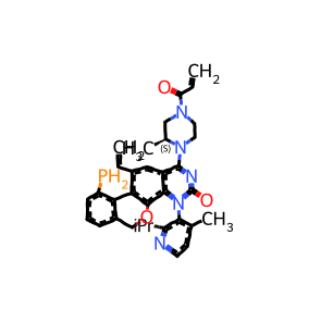 C=CC(=O)N1CCN(c2nc(=O)n(-c3c(C)ccnc3C(C)C)c3c4c(c(C=C)cc23)-c2c(P)cccc2CO4)[C@@H](C)C1